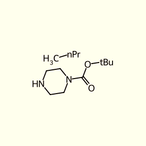 CC(C)(C)OC(=O)N1CCNCC1.CCCC